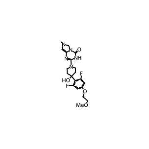 COCCOc1cc(F)c(C2(O)CCN(C3=NC4=CN(C)CN4C(=O)N3)CC2)c(F)c1